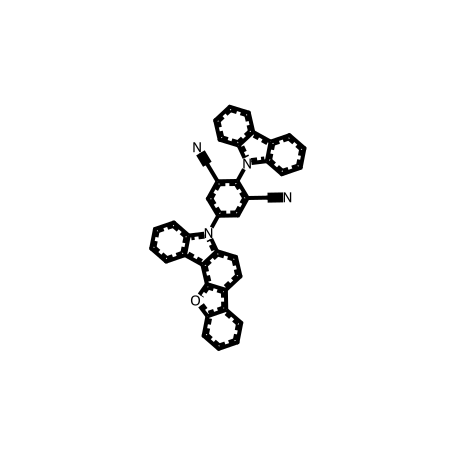 N#Cc1cc(-n2c3ccccc3c3c4oc5ccccc5c4ccc32)cc(C#N)c1-n1c2ccccc2c2ccccc21